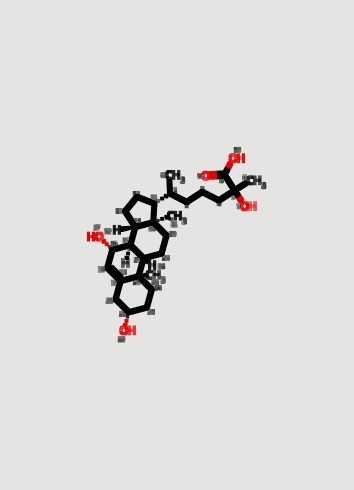 CC(CCCC(C)(O)C(=O)O)[C@H]1CC[C@H]2[C@@H]3[C@@H](O)C=C4C[C@@H](O)CC[C@]4(C)[C@H]3CC[C@]12C